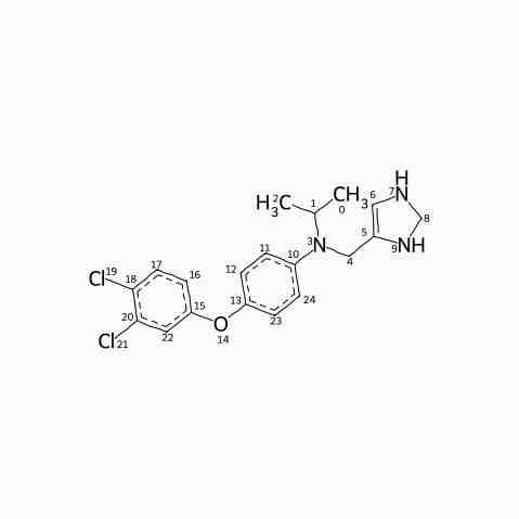 CC(C)N(CC1=CNCN1)c1ccc(Oc2ccc(Cl)c(Cl)c2)cc1